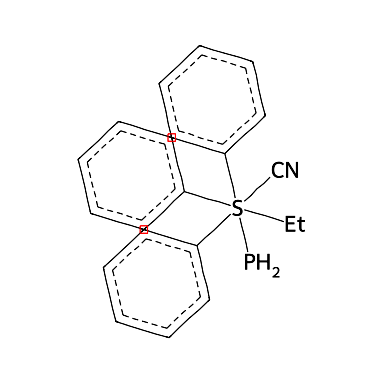 CCS(P)(C#N)(c1ccccc1)(c1ccccc1)c1ccccc1